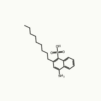 CCCCCCCCCc1cc(N)c2ccccc2c1S(=O)(=O)O